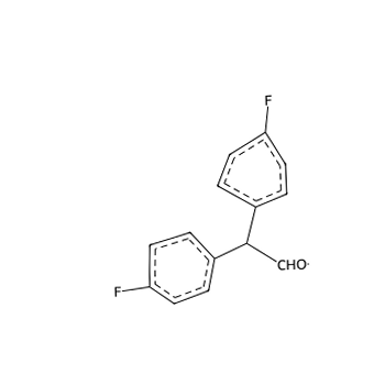 O=[C]C(c1ccc(F)cc1)c1ccc(F)cc1